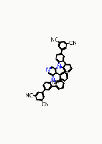 N#Cc1cc(C#N)cc(-c2ccc3c(c2)c2ccccc2n3-c2cncc(-n3c4ccccc4c4cc(-c5cc(C#N)cc(C#N)c5)ccc43)c2-c2ccccc2C#N)c1